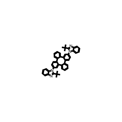 CC(C)(C)c1nc2ccccc2n1-c1ccc2c(c1)-c1ccccc1-c1ccc(-n3c(C(C)(C)C)nc4ccccc43)cc1-c1ccccc1-2